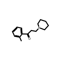 Cc1ccccc1C(=O)CCN1CCCCC1